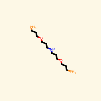 PCCCOCCCNCCCOCCCP